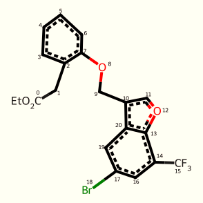 CCOC(=O)Cc1ccccc1OCc1coc2c(C(F)(F)F)cc(Br)cc12